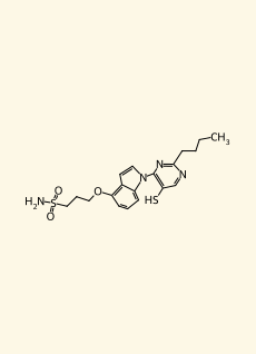 CCCCc1ncc(S)c(-n2ccc3c(OCCCS(N)(=O)=O)cccc32)n1